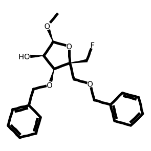 CO[C@H]1O[C@](CF)(COCc2ccccc2)[C@@H](OCc2ccccc2)[C@H]1O